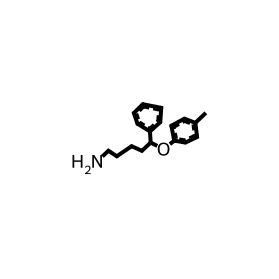 Cc1ccc(OC(CCCCN)c2ccccc2)cc1